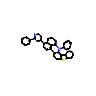 c1ccc(-c2cc(-c3ccc4c5c(cccc35)N(c3ccccc3)c3c-4ccc4sc5ccccc5c34)ccn2)cc1